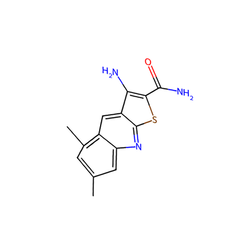 Cc1cc(C)c2cc3c(N)c(C(N)=O)sc3nc2c1